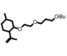 C=C(C)C1CCC(C)CC1OCCOCCCOCC(C)C